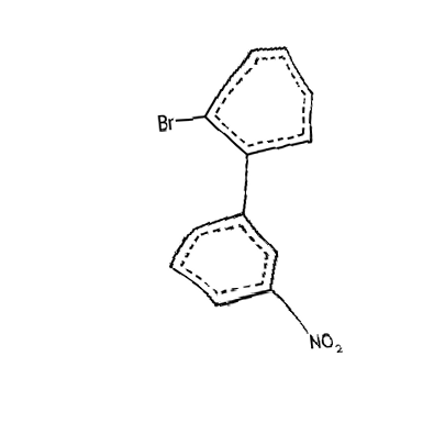 O=[N+]([O-])c1cccc(-c2ccccc2Br)c1